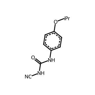 CC(C)Oc1ccc(NC(=O)NC#N)cc1